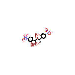 O=C(C(CBr)c1ccc([N+](=O)[O-])cc1Br)C(CBr)c1ccc([N+](=O)[O-])cc1Br